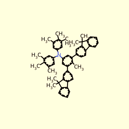 Cc1cc(N(c2cc(C)c(C)c(C)c2)c2cc(-c3ccc4c(c3)C(C)(C)c3ccccc3-4)c(C)c(-c3ccc4c(c3)C(C)(C)c3ccccc3-4)c2)cc(C)c1C